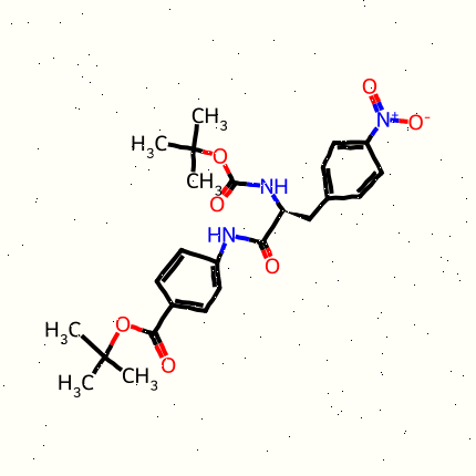 CC(C)(C)OC(=O)N[C@@H](Cc1ccc([N+](=O)[O-])cc1)C(=O)Nc1ccc(C(=O)OC(C)(C)C)cc1